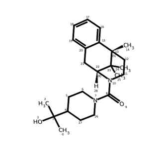 CC(C)(O)C1CCN(C(=O)N2CC[C@@]3(C)c4ccccc4C[C@@H]2C3(C)C)CC1